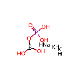 O=P(O)(O)OB(O)O.[KH].[KH].[NaH]